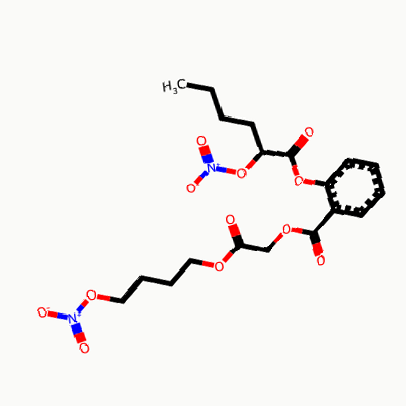 CCCCC(O[N+](=O)[O-])C(=O)Oc1ccccc1C(=O)OCC(=O)OCCCCO[N+](=O)[O-]